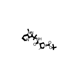 C[C@H]1CN(C(=O)OC(C)(C)C)C[C@H]1C(=O)NC(C)(C)c1nn(C)c2cccnc12